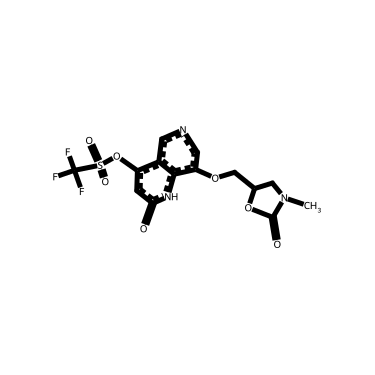 CN1CC(COc2cncc3c(OS(=O)(=O)C(F)(F)F)cc(=O)[nH]c23)OC1=O